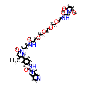 CC1CC(=O)N(CCCNC(=O)CCOCCOCCOCCOCCNC(=O)CN2C(=O)C=CC2=O)N=C1c1ccc(NC(=O)N2Cc3ccncc3C2)cc1